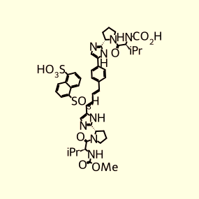 COC(=O)N[C@H](C(=O)N1CCC[C@H]1c1ncc(/C=C/C=C/c2ccc(-c3cnc([C@@H]4CCCN4C(=O)[C@@H](NC(=O)O)C(C)C)[nH]3)cc2)[nH]1)C(C)C.O=S(=O)(O)c1cccc2c(S(=O)(=O)O)cccc12